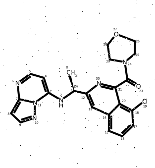 C[C@H](Nc1ccnc2ccnn12)c1cc2cccc(Cl)c2c(C(=O)N2CCOCC2)n1